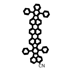 N#Cc1ccc2c3c(-c4ccccc4)c4c5ccc6c7ccc8c9ccc%10c%11c(ccc(c%12ccc(c%13ccc(c4c(-c4ccccc4)c3c3cccc1c32)c5c%136)c7c%128)c%119)-c1c-%10c(-c2ccccc2)c2ccccc2c1-c1ccccc1